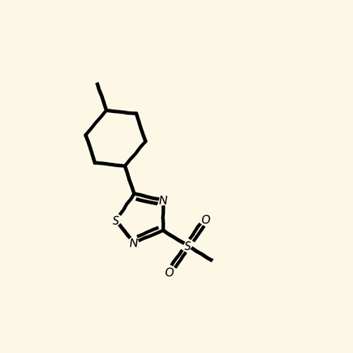 CC1CCC(c2nc(S(C)(=O)=O)ns2)CC1